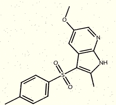 COc1cnc2[nH]c(C)c(S(=O)(=O)c3ccc(C)cc3)c2c1